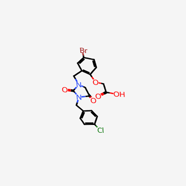 O=C(O)COc1ccc(Br)cc1CN1CC(=O)N(Cc2ccc(Cl)cc2)C1=O